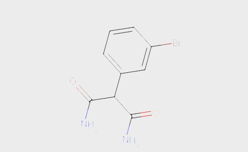 NC(=O)C(C(N)=O)c1cccc(Br)c1